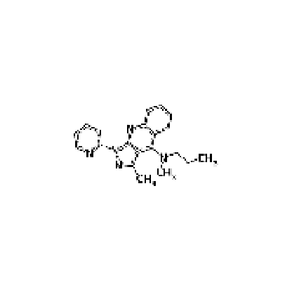 CCCN(C)c1c2ccccc2nc2c1c(C)nn2-c1ccccn1